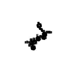 CCCCn1c(=O)c(C(=O)Nc2ccc(Oc3ccnc4cc(OC)c(OCCCN5CCN(C)CC5)cc34)c(F)c2)nn(-c2ccccc2)c1=O